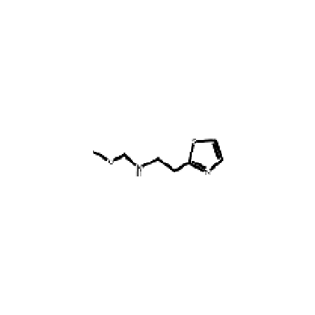 COCNCCc1nccs1